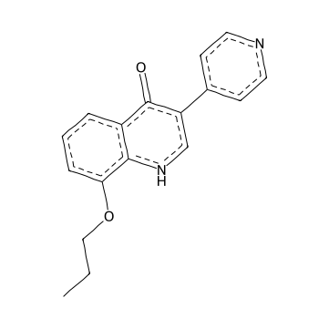 CCCOc1cccc2c(=O)c(-c3ccncc3)c[nH]c12